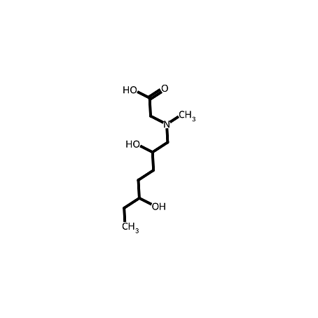 CCC(O)CCC(O)CN(C)CC(=O)O